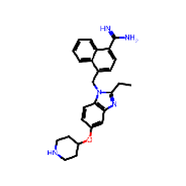 CCc1nc2cc(OC3CCNCC3)ccc2n1Cc1ccc(C(=N)N)c2ccccc12